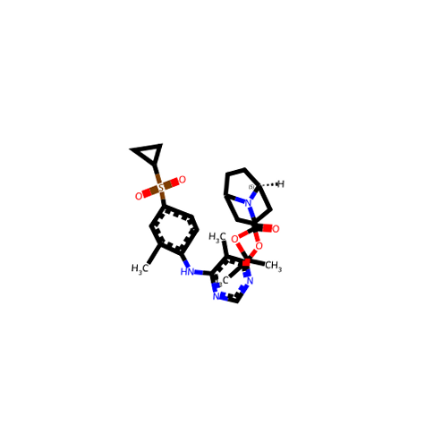 Cc1cc(S(=O)(=O)C2CC2)ccc1Nc1ncnc(OC2CC3CC[C@@H](C2)N3C(=O)OC(C)C)c1C